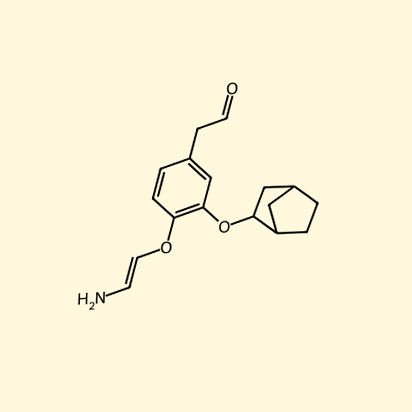 NC=COc1ccc(CC=O)cc1OC1CC2CCC1C2